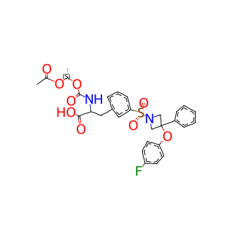 CC(=O)O[C@H](C)OC(=O)NC(Cc1cccc(S(=O)(=O)N2CC(Oc3ccc(F)cc3)(c3ccccc3)C2)c1)C(=O)O